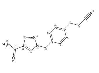 N#CCCc1ccc(Cn2cc(C(N)=O)cn2)cc1